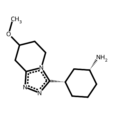 COC1CCn2c(nnc2[C@H]2CCC[C@@H](N)C2)C1